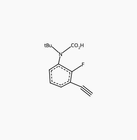 C#Cc1cccc(N(C(=O)O)C(C)(C)C)c1F